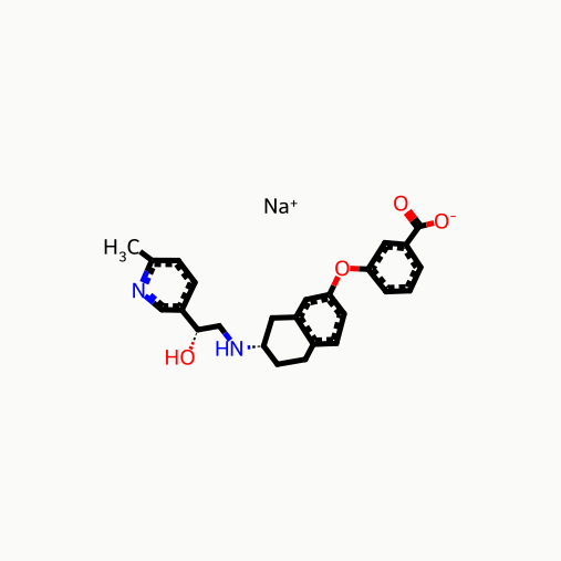 Cc1ccc([C@@H](O)CN[C@H]2CCc3ccc(Oc4cccc(C(=O)[O-])c4)cc3C2)cn1.[Na+]